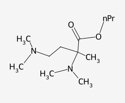 CCCOC(=O)C(C)(CCN(C)C)N(C)C